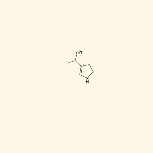 CCCC(C)[N+]1=CNCC1